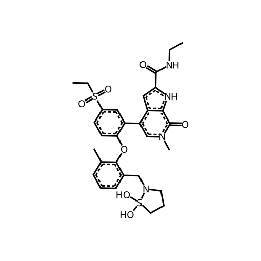 CCNC(=O)c1cc2c(-c3cc(S(=O)(=O)CC)ccc3Oc3c(C)cccc3CN3CCCS3(O)O)cn(C)c(=O)c2[nH]1